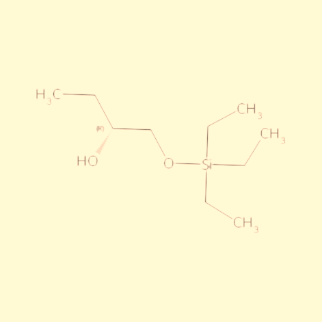 CC[C@@H](O)CO[Si](CC)(CC)CC